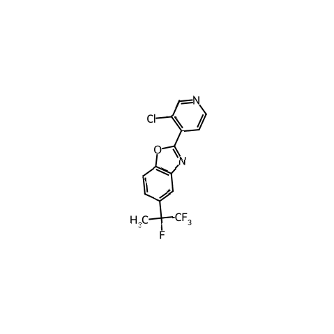 CC(F)(c1ccc2oc(-c3ccncc3Cl)nc2c1)C(F)(F)F